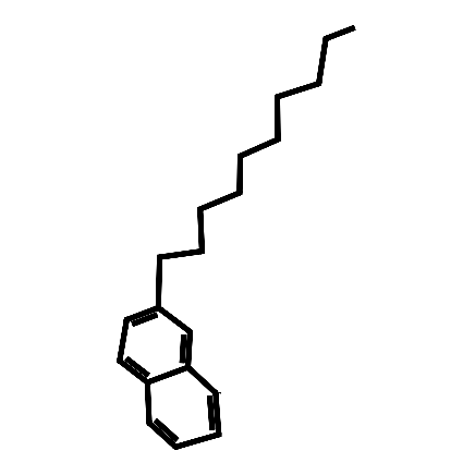 CCCCCCCCCCc1ccc2ccc[c]c2c1